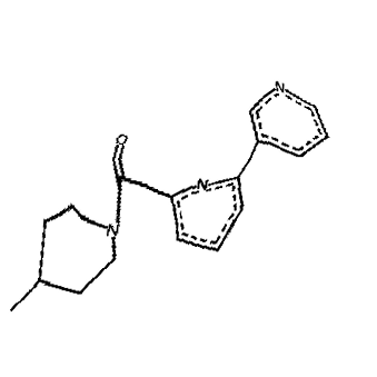 CC1CCN(C(=O)c2cccc(-c3cccnc3)n2)CC1